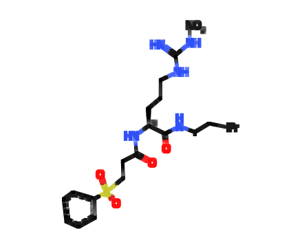 CC(C)C[CH]NC(=O)[C@H](CCCNC(=N)N[N+](=O)[O-])NC(=O)CCS(=O)(=O)c1ccccc1